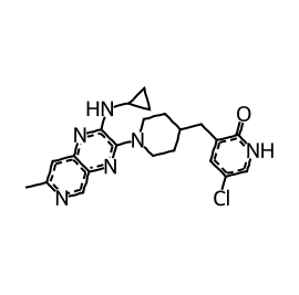 Cc1cc2nc(NC3CC3)c(N3CCC(Cc4cc(Cl)c[nH]c4=O)CC3)nc2cn1